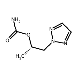 C[C@@H](Cn1nccn1)OC(N)=O